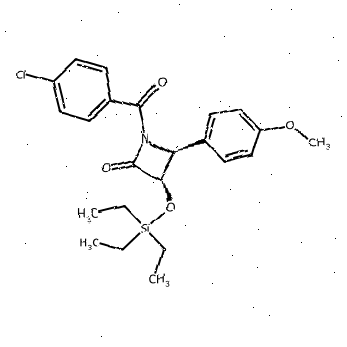 CC[Si](CC)(CC)O[C@H]1C(=O)N(C(=O)c2ccc(Cl)cc2)[C@H]1c1ccc(OC)cc1